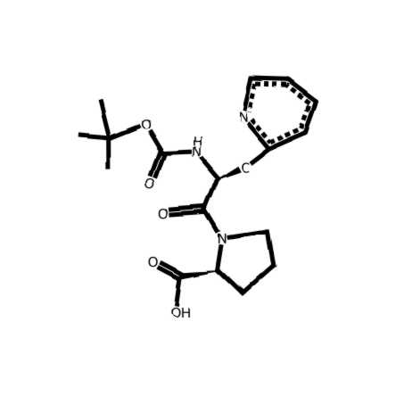 CC(C)(C)OC(=O)N[C@@H](Cc1ccccn1)C(=O)N1CCC[C@H]1C(=O)O